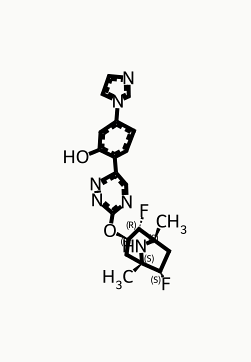 C[C@]12C[C@@H](Oc3ncc(-c4ccc(-n5ccnc5)cc4O)nn3)[C@H](F)[C@](C)(C[C@@H]1F)N2